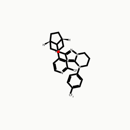 FC(F)(F)c1ccc(N2CCCn3nc(NC4[C@@H]5CC[C@H]4CN(c4ccnc(C(F)(F)F)c4)C5)nc32)cc1